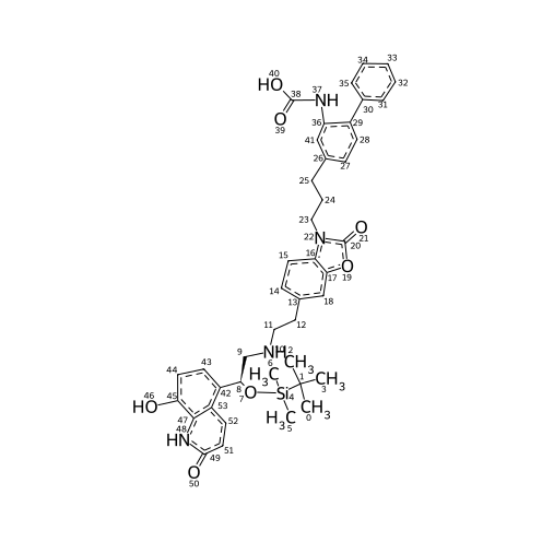 CC(C)(C)[Si](C)(C)O[C@H](CNCCc1ccc2c(c1)oc(=O)n2CCCc1ccc(-c2ccccc2)c(NC(=O)O)c1)c1ccc(O)c2[nH]c(=O)ccc12